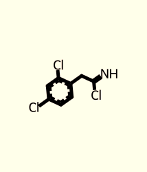 N=C(Cl)Cc1ccc(Cl)cc1Cl